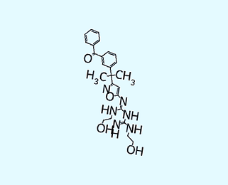 CC(C)(c1cccc(C(=O)c2ccccc2)c1)c1cc(/N=C(\NCCO)NC(=N)NCCO)on1